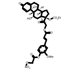 CCOC(=O)O[C@]1(C(=O)COC(=O)/C=C/c2ccc(OC(=O)CO[N+](=O)[O-])c(OC)c2)CC[C@H]2[C@@H]3CCC4=CC(=O)C=C[C@]4(C)[C@H]3[C@@H](O)C[C@@]21C